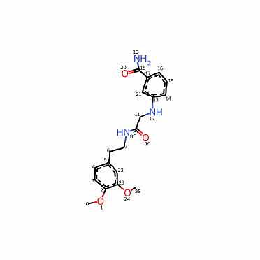 COc1ccc(CCNC(=O)CNc2cccc(C(N)=O)c2)cc1OC